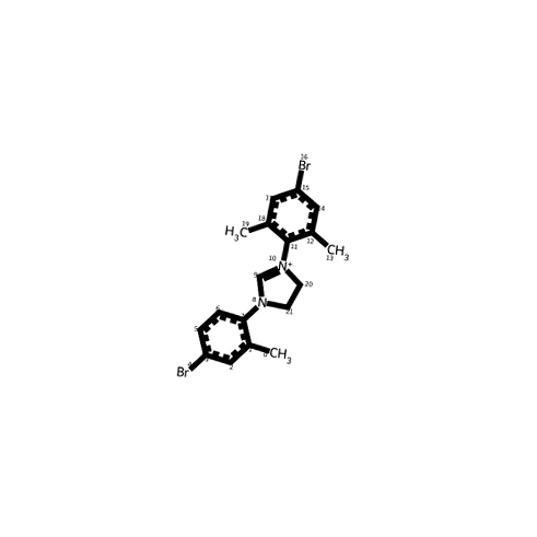 Cc1cc(Br)ccc1N1C=[N+](c2c(C)cc(Br)cc2C)CC1